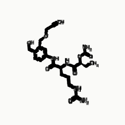 C#CCOCc1cc(NC(=O)[C@H](CCCNC(N)=O)NC(=O)[C@H](CC)OC(N)=O)ccc1CO